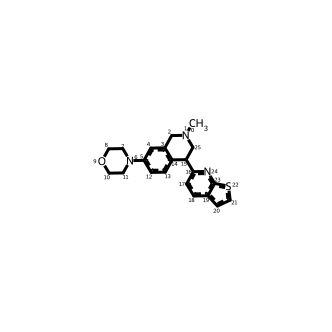 CN1Cc2cc(N3CCOCC3)ccc2C(c2ccc3ccsc3n2)C1